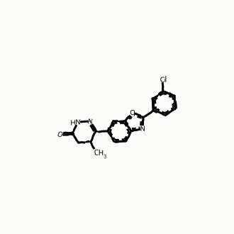 CC1CC(=O)NN=C1c1ccc2nc(-c3cccc(Cl)c3)oc2c1